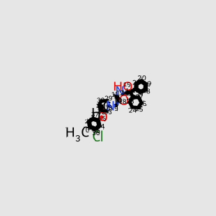 Cc1ccc(O[C@H]2C[N+]3(Cc4cnc([C@](O)(c5ccccc5)C5CCCCC5)o4)CCC2CC3)cc1Cl